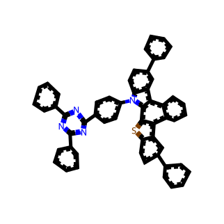 c1ccc(-c2ccc3sc4c(c3c2)c2ccccc2c2c3cc(-c5ccccc5)ccc3n(-c3ccc(-c5nc(-c6ccccc6)nc(-c6ccccc6)n5)cc3)c42)cc1